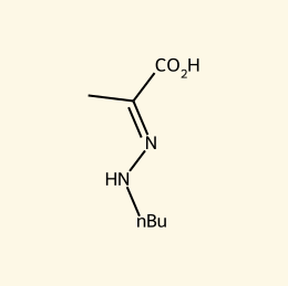 CCCCNN=C(C)C(=O)O